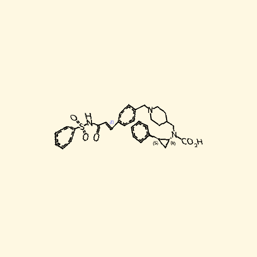 O=C(/C=C/c1ccc(CN2CCC(CN(C(=O)O)[C@@H]3C[C@H]3c3ccccc3)CC2)cc1)NS(=O)(=O)c1ccccc1